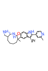 Cc1cc(-c2[nH]c3ccc(C4(C)CCCCC(CN)CNC4=O)cc3c2C(C)C)ccn1